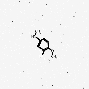 [CH2]Nc1ccc(OC)c(Cl)c1